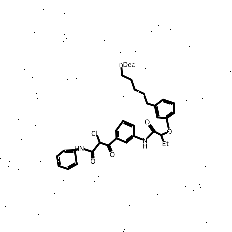 CCCCCCCCCCCCCCCc1cccc(OC(CC)C(=O)Nc2cccc(C(=O)C(Cl)C(=O)Nc3ccccc3)c2)c1